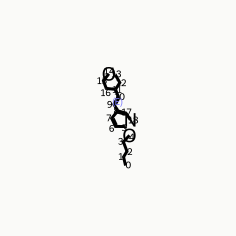 CCCCOc1ccc(/C=C/C2CCOCC2)cn1